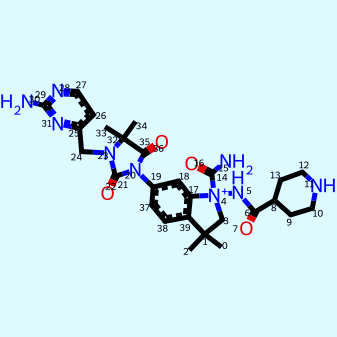 CC1(C)C[N+](NC(=O)C2CCNCC2)(C(N)=O)c2cc(N3C(=O)N(Cc4ccnc(N)n4)C(C)(C)C3=O)ccc21